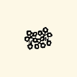 c1ccc(N2c3ccccc3C(c3ccccc3)(c3ccccc3)c3cc4c(cc32)C(c2ccccc2)(c2ccccc2)c2cc3c(cc2-4)C(c2ccccc2)(c2ccccc2)c2ccccc2N3c2ccccc2)cc1